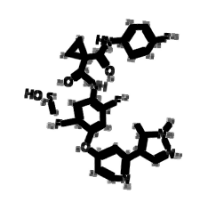 CS(=O)(=O)O.Cc1c(-c2cc(Oc3cc(F)c(NC(=O)C4(C(=O)Nc5ccc(F)cc5)CC4)cc3F)ccn2)cnn1C